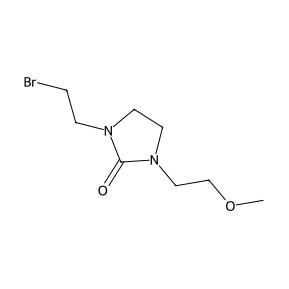 COCCN1CCN(CCBr)C1=O